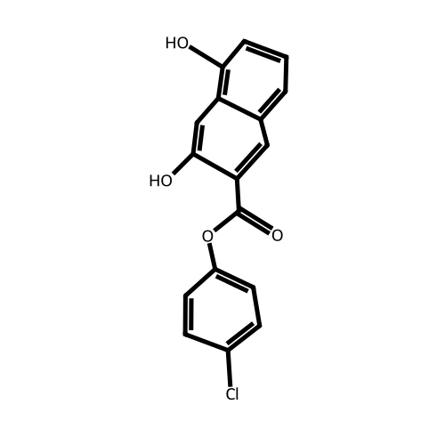 O=C(Oc1ccc(Cl)cc1)c1cc2cccc(O)c2cc1O